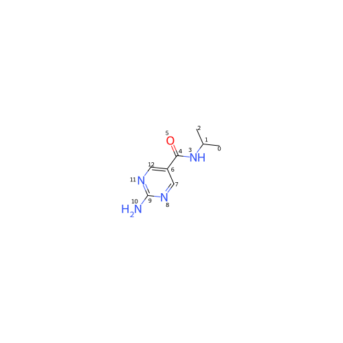 CC(C)NC(=O)c1cnc(N)nc1